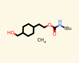 C.CC(C)(C)NC(=O)OCCC1CCC(CO)CC1